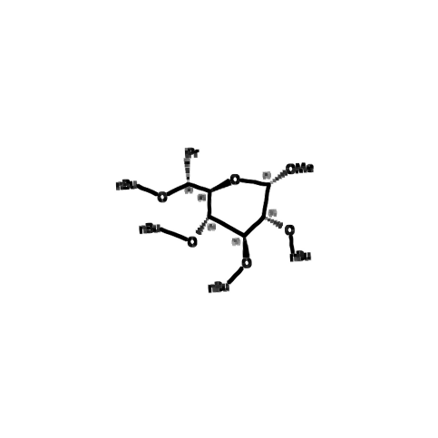 CCCCO[C@H]1[C@H](OCCCC)[C@@H]([C@H](OCCCC)C(C)C)O[C@H](OC)[C@@H]1OCCCC